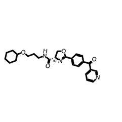 O=C(c1ccc(C2=N[C@H](C(=O)NCCCOC3CCCCC3)CO2)cc1)c1cccnc1